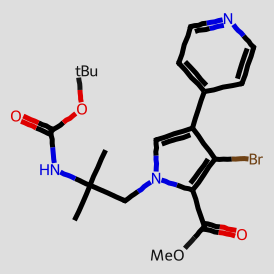 COC(=O)c1c(Br)c(-c2ccncc2)cn1CC(C)(C)NC(=O)OC(C)(C)C